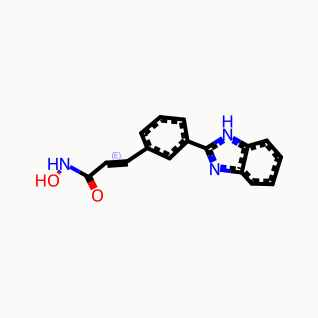 O=C(/C=C/c1cccc(-c2nc3ccccc3[nH]2)c1)NO